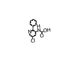 O=C(O)Nc1cc(Cl)cnc1-c1ccccc1